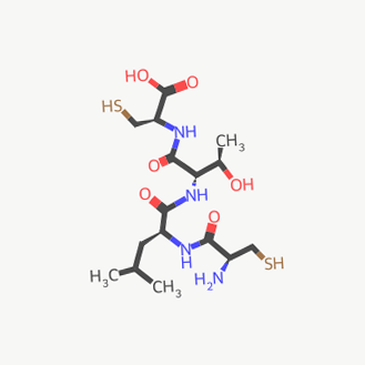 CC(C)C[C@H](NC(=O)[C@H](N)CS)C(=O)N[C@H](C(=O)N[C@@H](CS)C(=O)O)[C@@H](C)O